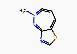 C[N+]1=C=CC=c2scnc2=N1